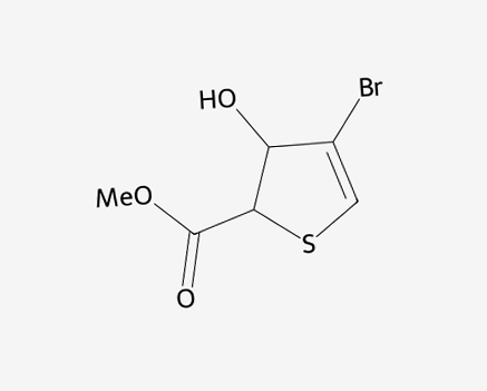 COC(=O)C1SC=C(Br)C1O